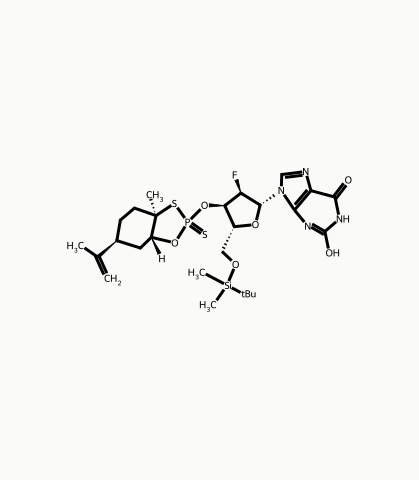 C=C(C)[C@H]1CC[C@@]2(C)SP(=S)(O[C@H]3[C@@H](F)[C@H](n4cnc5c(=O)[nH]c(O)nc54)O[C@@H]3CO[Si](C)(C)C(C)(C)C)O[C@@H]2C1